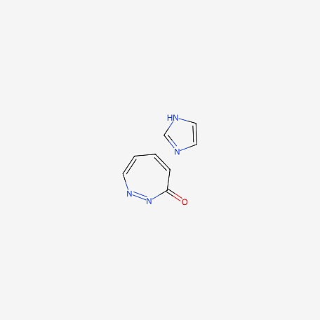 O=c1ccccnn1.c1c[nH]cn1